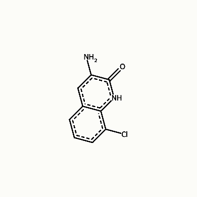 Nc1cc2cccc(Cl)c2[nH]c1=O